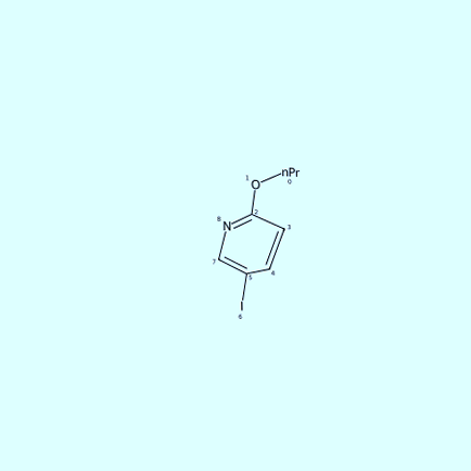 CCCOc1ccc(I)cn1